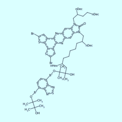 CCCCCCCCCCCCC(CCCCCCCCCC)Cn1c(=O)n(CC(CCCCCCCCCC)CCCCCC(CCCCCC)CC(C)(O)C(C)(C)O[B+]c2ccc([B+]OC(C)(C)C(C)(C)O)c3nsnc23)c2cc3nc4c5cc(Br)sc5c5sc(Br)cc5c4nc3cc21